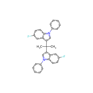 CC(C)(c1cn(-c2ccccc2)c2ccc(F)cc12)c1cn(-c2ccccc2)c2ccc(F)cc12